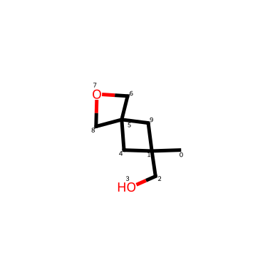 CC1(CO)CC2(COC2)C1